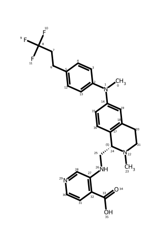 CN(c1ccc(CCC(F)(F)F)cc1)c1ccc2c(c1)CCN(C)[C@@H]2CNc1cnccc1C(=O)O